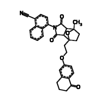 CC12CCC(CCOc3ccc4c(c3)CCCC4=O)(O1)C1C(=O)N(c3ccc(C#N)c4ccccc34)C(=O)C12